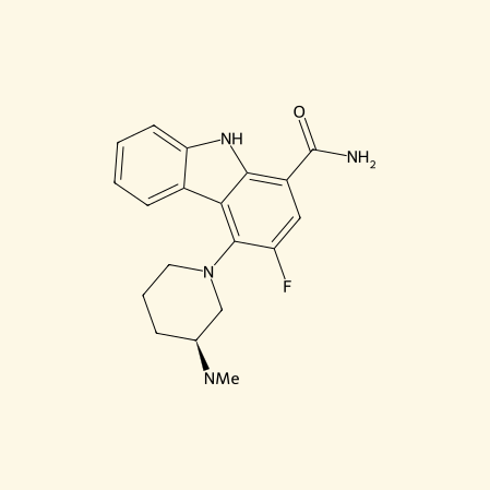 CN[C@H]1CCCN(c2c(F)cc(C(N)=O)c3[nH]c4ccccc4c23)C1